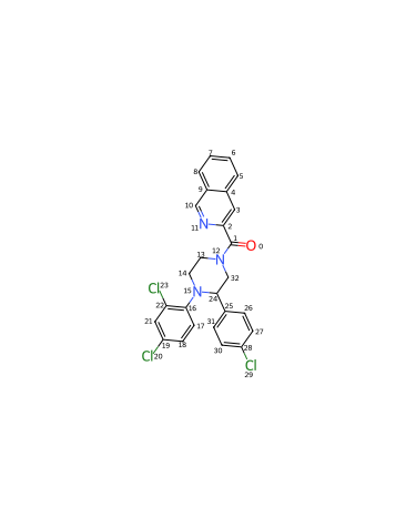 O=C(c1cc2ccccc2cn1)N1CCN(c2ccc(Cl)cc2Cl)C(c2ccc(Cl)cc2)C1